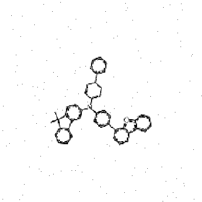 CC1(C)c2ccccc2-c2cc(N(C3=CCC(c4ccccc4)C=C3)c3ccc(-c4cccc5c4oc4ccccc45)cc3)ccc21